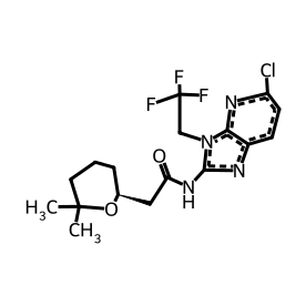 CC1(C)CCC[C@@H](CC(=O)Nc2nc3ccc(Cl)nc3n2CC(F)(F)F)O1